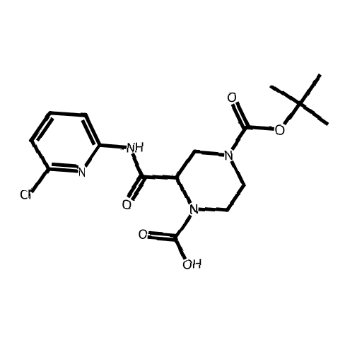 CC(C)(C)OC(=O)N1CCN(C(=O)O)C(C(=O)Nc2cccc(Cl)n2)C1